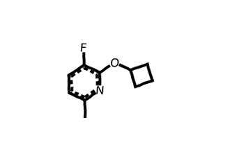 Cc1ccc(F)c(OC2CCC2)n1